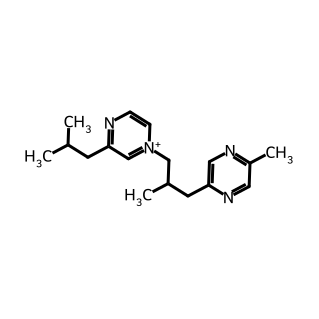 Cc1cnc(CC(C)C[n+]2ccnc(CC(C)C)c2)cn1